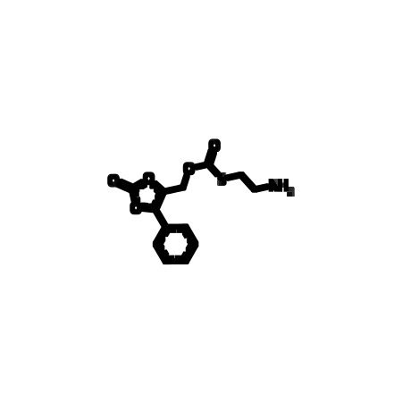 NCCSC(=O)OCc1oc(=O)oc1-c1ccccc1